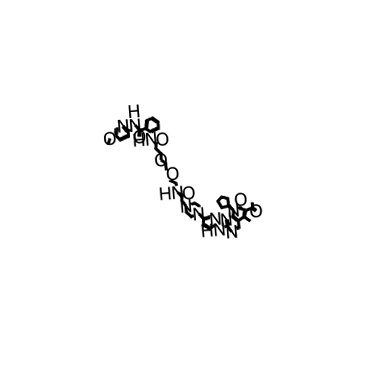 COc1ccc(NC(=O)c2ccccc2NC(=O)CCOCCOCCNC(=O)CN2CCN(c3ccc(Nc4ncc5c(C)c(C(C)=O)c(=O)n(C6CCCC6)c5n4)nc3)CC2)nc1